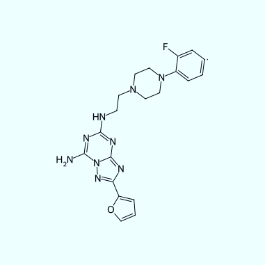 Nc1nc(NCCN2CCN(c3cc[c]cc3F)CC2)nc2nc(-c3ccco3)nn12